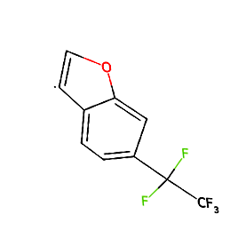 FC(F)(F)C(F)(F)c1ccc2[c]coc2c1